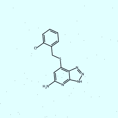 Nc1cc(SCc2ccccc2Cl)c2nn[nH]c2n1